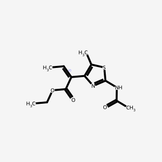 C/C=C(\C(=O)OCC)c1nc(NC(C)=O)sc1C